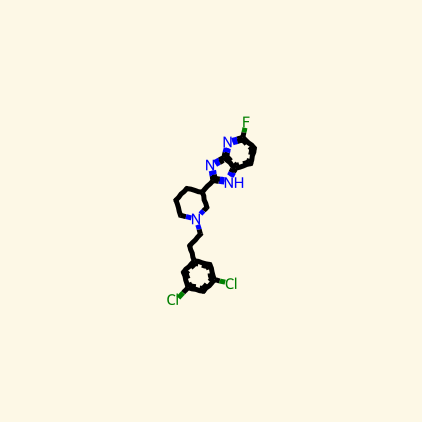 Fc1ccc2[nH]c(C3CCCN(CCc4cc(Cl)cc(Cl)c4)C3)nc2n1